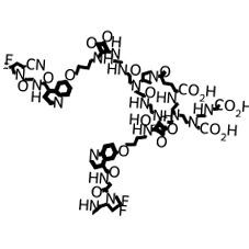 N#C[C@@H]1CC(F)(F)CN1C(=O)CNC(=O)c1ccnc2ccc(OCCCCNc3c(NCCNC(=O)CN(CC(=O)NCCNc4c(NCCCCOc5ccc6nccc(C(=O)NCC(=O)N7CC(F)(F)CC7C7CN7)c6c5)c(=O)c4=O)C4CCN(C(=O)CCC(NCCN(CCN(CCNCC(=O)O)CC(=O)O)CC(=O)O)C(=O)O)C4)c(=O)c3=O)cc12